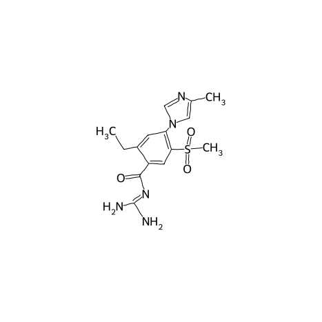 CCc1cc(-n2cnc(C)c2)c(S(C)(=O)=O)cc1C(=O)N=C(N)N